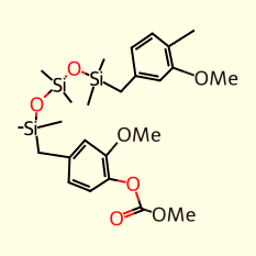 COC(=O)Oc1ccc(C[Si](C)(C)O[Si](C)(C)O[Si](C)(C)Cc2ccc(C)c(OC)c2)cc1OC